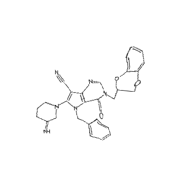 N#Cc1c(N2CCCC(=N)C2)n(Cc2ccccc2)c2c(=O)n(CC3COc4ccccc4O3)cnc12